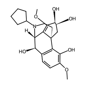 COC1=C2[C@@H]3[C@H](O)c4ccc(OC)c(O)c4[C@]2(CCN3C2CCCC2)C[C@H](O)[C@@H]1O